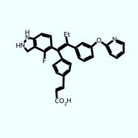 CC/C(=C(/c1ccc(/C=C/C(=O)O)cc1)c1ccc2c(c1F)CNN2)c1cccc(Oc2ccccn2)c1